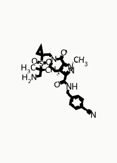 Cn1nc(C(=O)NCc2ccc(C#N)cc2)c2c1C(=O)N(CC1(S(=O)(=O)C(C)(C)CN)CC1)CC2